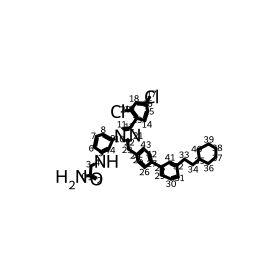 NC(=O)CNc1cccc(-n2cc(-c3ccc(Cl)cc3Cl)nc2Cc2ccc(-c3cccc(CCC4CCCCC4)c3)cc2)c1